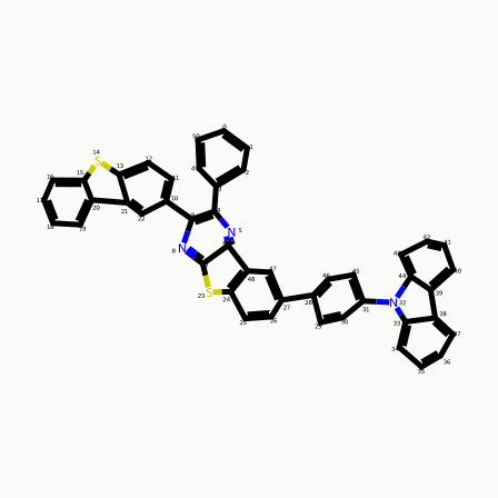 c1ccc(-c2nc3c(nc2-c2ccc4sc5ccccc5c4c2)sc2ccc(-c4ccc(-n5c6ccccc6c6ccccc65)cc4)cc23)cc1